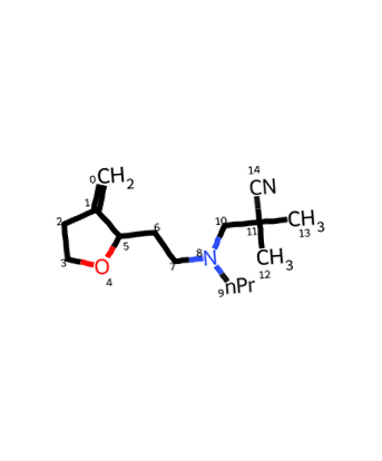 C=C1CCOC1CCN(CCC)CC(C)(C)C#N